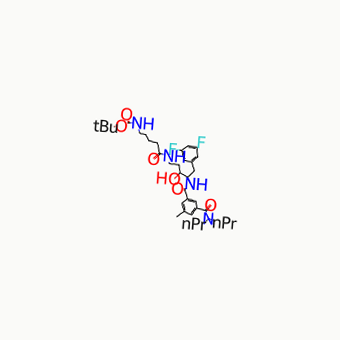 CCCN(CCC)C(=O)c1cc(C)cc(C(=O)NC(Cc2cc(F)cc(F)c2)C(O)CCNC(=O)CCCCNC(=O)OC(C)(C)C)c1